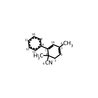 CC1=CCC(C)(C#N)C(c2ccccc2)=C1